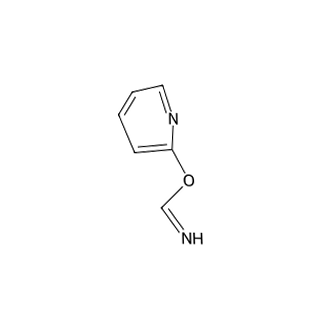 N=COc1ccccn1